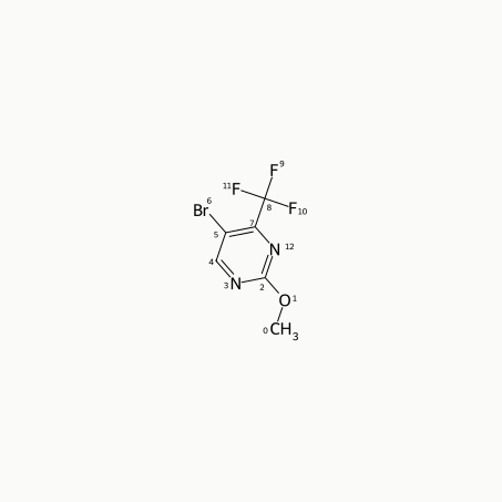 COc1ncc(Br)c(C(F)(F)F)n1